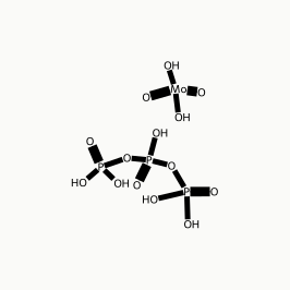 O=P(O)(O)OP(=O)(O)OP(=O)(O)O.[O]=[Mo](=[O])([OH])[OH]